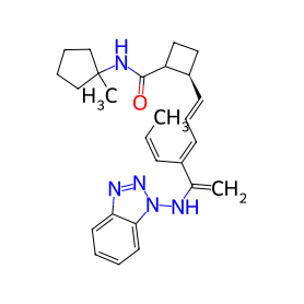 C=C(Nn1nnc2ccccc21)C(/C=C\C)=C/C=C/[C@@H]1CCC1C(=O)NC1(C)CCCC1